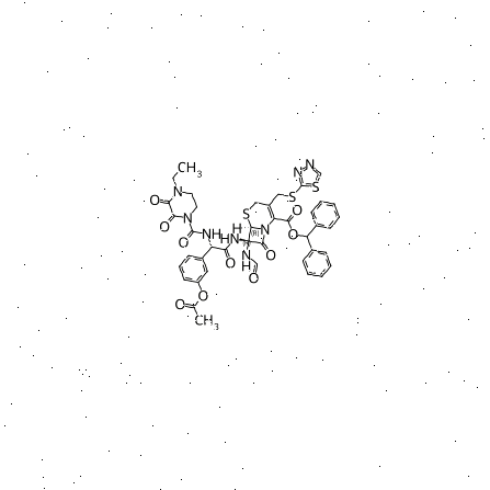 CCN1CCN(C(=O)NC(C(=O)N[C@]2(NC=O)C(=O)N3C(C(=O)OC(c4ccccc4)c4ccccc4)=C(CSc4nncs4)CS[C@@H]32)c2cccc(OC(C)=O)c2)C(=O)C1=O